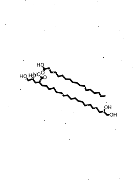 CCCCCCCCCCCCCCCCCC(=O)O.O=C(O)C(CCCCCCCCCCCCCCCCCC(O)CO)CC(O)CO